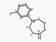 Cc1ccnc(N2CCCNCC2)c1